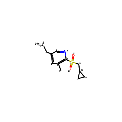 Cc1cc(CC(=O)O)cnc1S(=O)(=O)CC1CC1